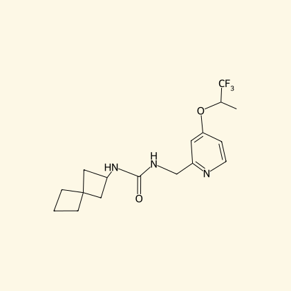 CC(Oc1ccnc(CNC(=O)NC2CC3(CCC3)C2)c1)C(F)(F)F